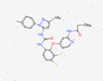 CCCCc1cc(NC(=O)Nc2ccc(F)c(F)c2Oc2ccnc(NC(=O)COC)c2)n(-c2ccc(C)cc2)n1